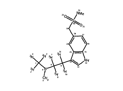 [2H]C([2H])([2H])N(C)C([2H])([2H])C([2H])([2H])c1c[nH]c2ccc(CS(=O)(=O)NC)cc12